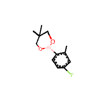 Cc1cc(F)ccc1B1OCC(C)(C)CO1